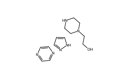 OCCN1CCNCC1.c1cn[nH]c1.c1cnccn1